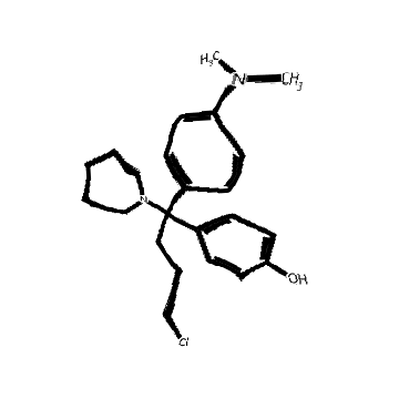 CN(C)c1ccc(C(CCCCl)(c2ccc(O)cc2)N2CCCCC2)cc1